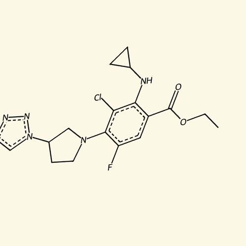 CCOC(=O)c1cc(F)c(N2CCC(n3ccnn3)C2)c(Cl)c1NC1CC1